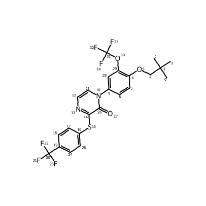 CC(C)(C)COc1ccc(-n2ccnc(Sc3ccc(C(F)(F)F)cc3)c2=O)cc1OC(F)(F)F